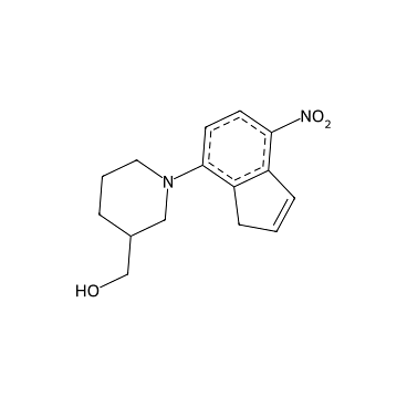 O=[N+]([O-])c1ccc(N2CCCC(CO)C2)c2c1C=CC2